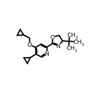 CC(C)(C)C1COC(c2cc(OCC3CC3)c(C3CC3)cn2)=N1